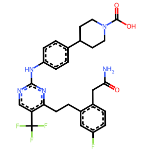 NC(=O)Cc1ccc(F)cc1CCc1nc(Nc2ccc(C3CCN(C(=O)O)CC3)cc2)ncc1C(F)(F)F